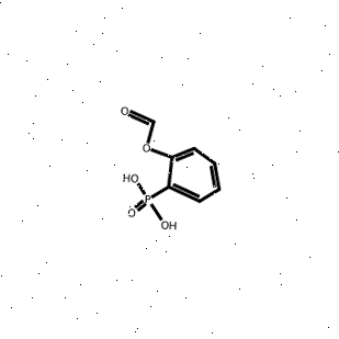 O=COc1ccccc1P(=O)(O)O